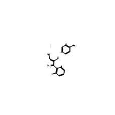 CC(C)c1onc(-c2c(Cl)cccc2Cl)c1COc1ccc(C=O)c(Cl)c1